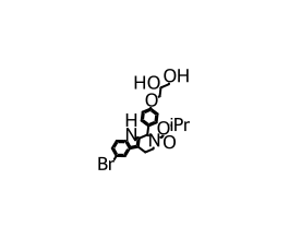 CC(C)OC(=O)N1CCc2c([nH]c3ccc(Br)cc23)C1c1ccc(OCC(O)CO)cc1